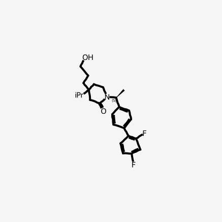 CC(C)C1(CCCO)CCN([C@@H](C)c2ccc(-c3ccc(F)cc3F)cc2)C(=O)C1